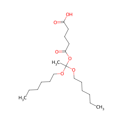 CCCCCCOC(C)(OCCCCCC)OC(=O)CCCC(=O)O